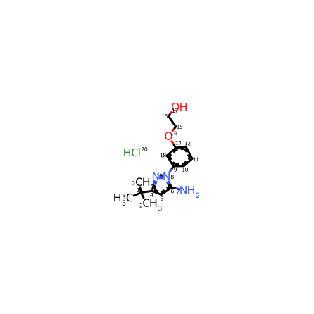 CC(C)(C)c1cc(N)n(-c2cccc(OCCO)c2)n1.Cl